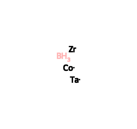 B.[Co].[Ta].[Zr]